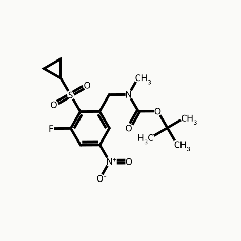 CN(Cc1cc([N+](=O)[O-])cc(F)c1S(=O)(=O)C1CC1)C(=O)OC(C)(C)C